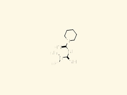 CCCN(CCC)C(=N)NC(=N)N1CCCCC1